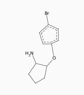 NC1CCCC1Oc1ccc(Br)cc1